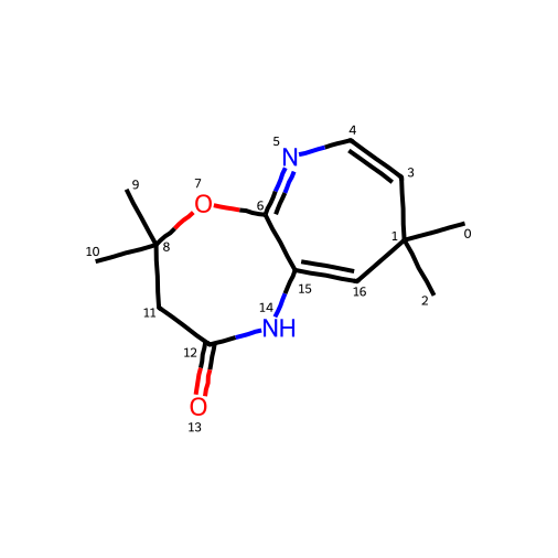 CC1(C)C=CN=C2OC(C)(C)CC(=O)NC2=C1